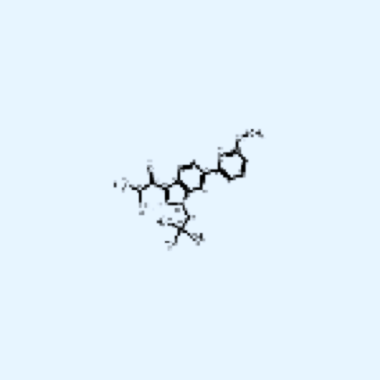 COc1cccc(-c2ccc3c(C(=O)C(C)C)nn(CC(C)(C)O)c3c2)n1